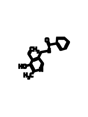 C=Cc1c(CSC(=O)c2ccccc2)cnc(C)c1O